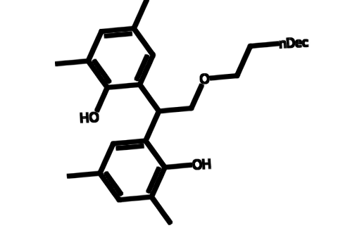 CCCCCCCCCCCCOCC(c1cc(C)cc(C)c1O)c1cc(C)cc(C)c1O